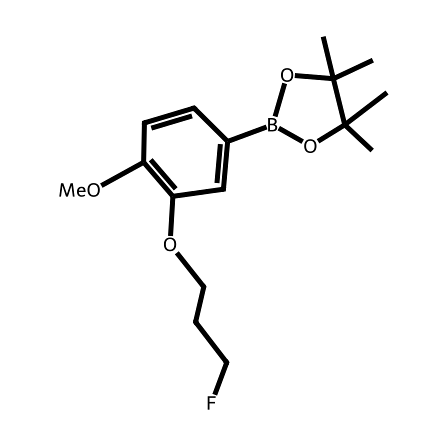 COc1ccc(B2OC(C)(C)C(C)(C)O2)cc1OCCCF